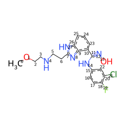 COCCNCCc1nc2c(/C(=N/O)Nc3ccc(F)c(Cl)c3)cccc2[nH]1